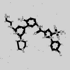 Cc1ccc(NC(=O)c2cc(S(C)(=O)=O)n(-c3ccc(F)cc3)n2)cc1-c1cc(OCCO)nc(N2CCOCC2)c1